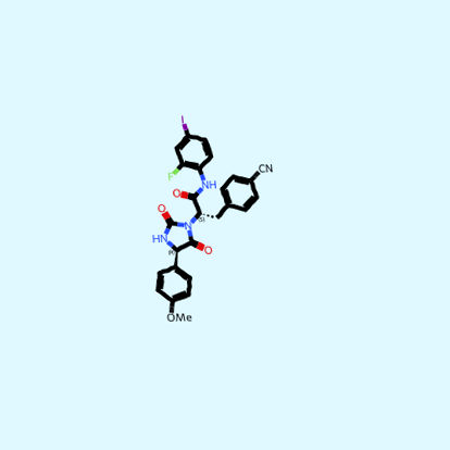 COc1ccc([C@H]2NC(=O)N([C@@H](Cc3ccc(C#N)cc3)C(=O)Nc3ccc(I)cc3F)C2=O)cc1